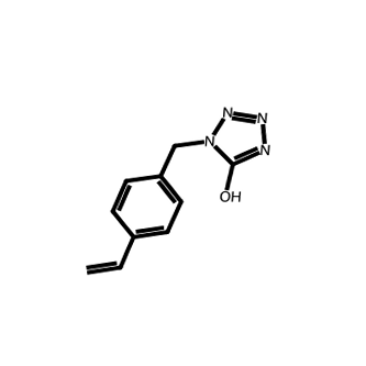 C=Cc1ccc(Cn2nnnc2O)cc1